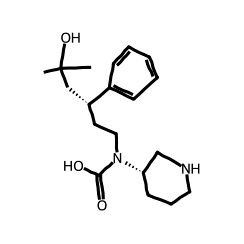 CC(C)(O)C[C@@H](CCN(C(=O)O)[C@H]1CCCNC1)c1ccccc1